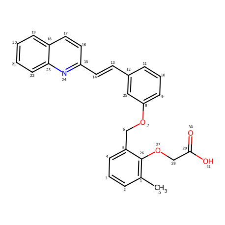 Cc1cccc(COc2cccc(/C=C/c3ccc4ccccc4n3)c2)c1OCC(=O)O